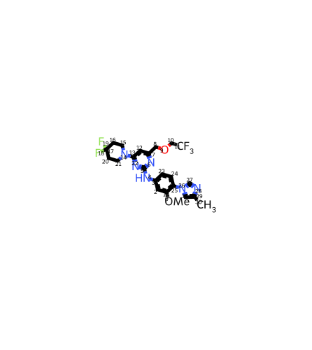 COc1cc(Nc2nc(COCC(F)(F)F)cc(N3CCC(F)(F)CC3)n2)ccc1-n1cnc(C)c1